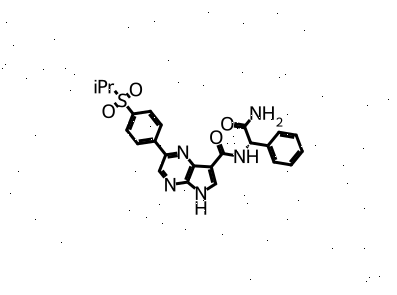 CC(C)S(=O)(=O)c1ccc(-c2cnc3[nH]cc(C(=O)N[C@H](C(N)=O)c4ccccc4)c3n2)cc1